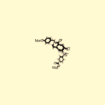 COc1ccc(Cn2ccc3cc([S+]([O-])C4CCN(C(=O)OC(C)(C)C)CC4)c(Cl)cc3c2=O)cc1